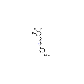 CCCCCc1ccc(/C=N/N=C/c2cc(F)c(CC)c(F)c2)cc1